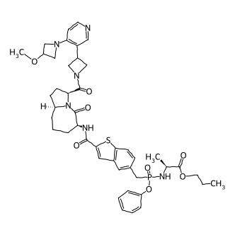 CCCOC(=O)[C@H](C)NP(=O)(Cc1ccc2sc(C(=O)N[C@H]3CCC[C@H]4CC[C@@H](C(=O)N5CC(c6cnccc6N6CC(OC)C6)C5)N4C3=O)cc2c1)Oc1ccccc1